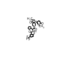 CN1CN(c2ccc(=O)n(C)c2)C2(CCN(C(=O)C(NC(=O)c3cc(C(F)(F)F)ccc3F)C3CCCC3)CC2)C1=O